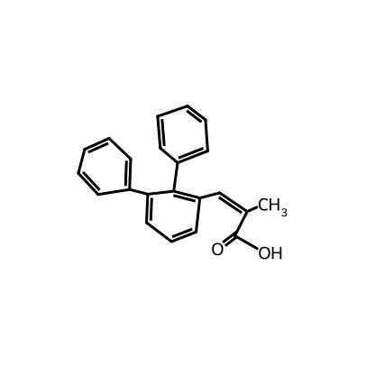 CC(=Cc1cccc(-c2ccccc2)c1-c1ccccc1)C(=O)O